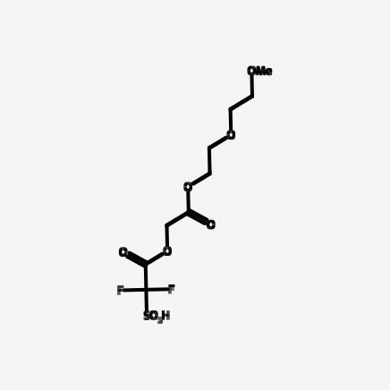 COCCOCCOC(=O)COC(=O)C(F)(F)S(=O)(=O)O